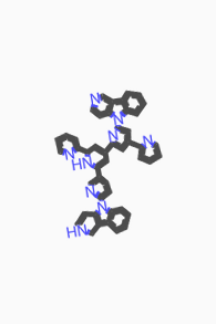 C1=Cc2c(c3ccccc3n2-c2ccc(C3=CC(c4cc(-c5ccccn5)cc(-n5c6ccccc6c6cnccc65)n4)=CC(c4ccccn4)N3)cn2)CN1